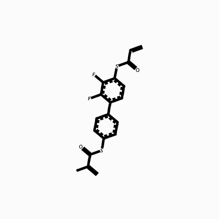 C=CC(=O)Sc1ccc(-c2ccc(SC(=O)C(=C)C)cc2)c(F)c1F